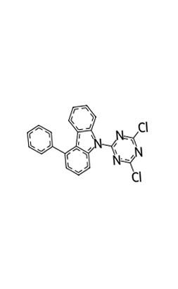 Clc1nc(Cl)nc(-n2c3ccccc3c3c(-c4ccccc4)cccc32)n1